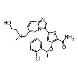 CC(Oc1cc(-c2cnc3ccc(CN(C)CCO)cn23)sc1C(N)=O)c1ccccc1Cl